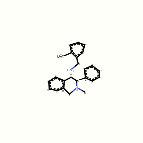 COc1ccccc1CN[C@H]1c2ccccc2CN(C)[C@@H]1c1ccccc1